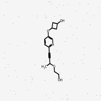 CC(C#Cc1ccc(OC2CC(O)C2)cn1)OCCO